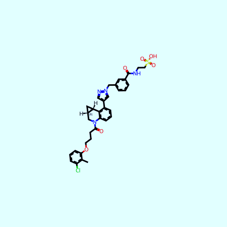 Cc1c(Cl)cccc1OCCCC(=O)N1C[C@@H]2C[C@@H]2c2c(-c3cnn(Cc4cccc(C(=O)NCCS(=O)(=O)O)c4)c3)cccc21